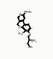 CC(=O)Nc1cc2c(cn1)COc1c-2ccc(OC[C@@H](N)CC(C)C)c1C